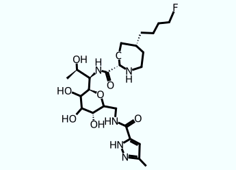 Cc1cc(C(=O)NCC2O[C@H]([C@H](NC(=O)[C@@H]3CC[C@H](CCCCF)CCN3)[C@@H](C)O)C(O)C(O)[C@H]2O)[nH]n1